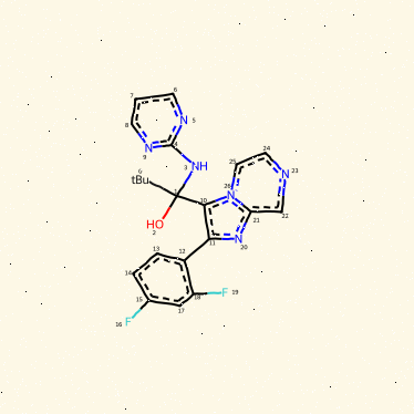 CC(C)(C)C(O)(Nc1ncccn1)c1c(-c2ccc(F)cc2F)nc2cnccn12